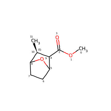 COC(=O)C1C2CCC(O2)[C@H]1C